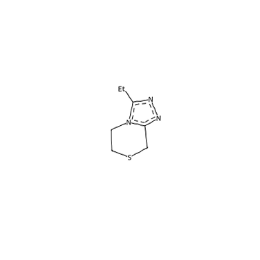 CCc1nnc2n1CCSC2